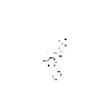 C=C1C(Cl)=C(C)C(S(=O)(=O)NO[Si](C)(C)C(C)(C)C)=C(Cl)C1N1CCOCC1